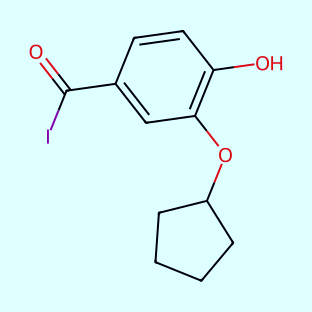 O=C(I)c1ccc(O)c(OC2CCCC2)c1